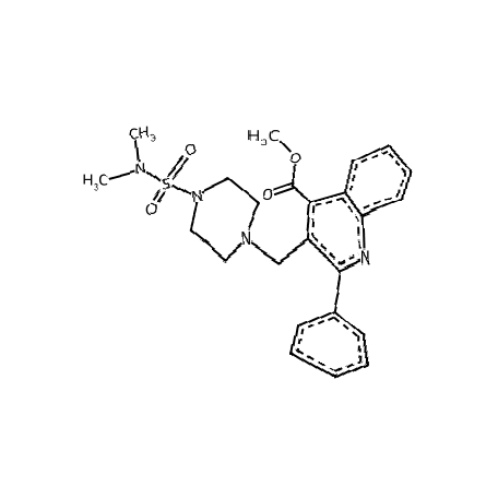 COC(=O)c1c(CN2CCN(S(=O)(=O)N(C)C)CC2)c(-c2ccccc2)nc2ccccc12